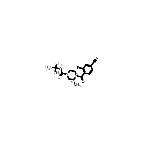 C[C@@H]1CN(C(=O)OC(C)(C)C)CCN1C(=O)c1ccc(C#N)cc1F